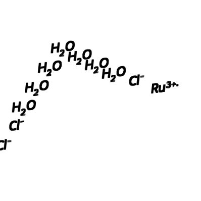 O.O.O.O.O.O.O.[Cl-].[Cl-].[Cl-].[Ru+3]